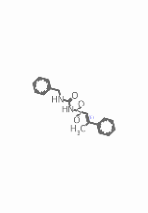 C/C(=C\S(=O)(=O)NC(=O)NCc1ccccc1)c1ccccc1